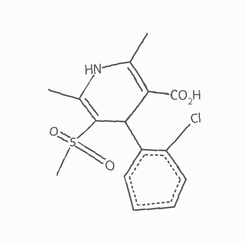 CC1=C(C(=O)O)C(c2ccccc2Cl)C(S(C)(=O)=O)=C(C)N1